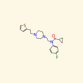 O=C(C1CC1)N(CCN1CCN(CCc2cccs2)CC1)c1ccc(F)cc1